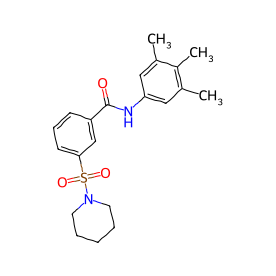 Cc1cc(NC(=O)c2cccc(S(=O)(=O)N3CCCCC3)c2)cc(C)c1C